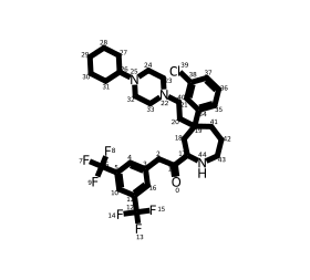 O=C(Cc1cc(C(F)(F)F)cc(C(F)(F)F)c1)C1CC(CCN2CCN(C3CCCCC3)CC2)(c2cccc(Cl)c2)CCCN1